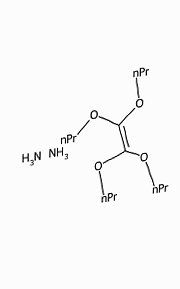 CCCOC(OCCC)=C(OCCC)OCCC.N.N